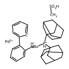 CCCC[PH+](C12CC3CC(CC(C3)C1)C2)C12CC3CC(CC(C3)C1)C2.CS(=O)(=O)O.[NH-]c1ccccc1-c1[c-]cccc1.[Pd+2]